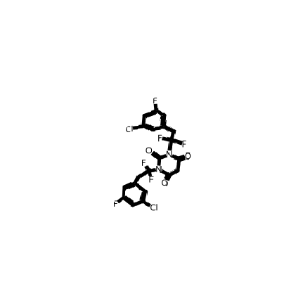 O=C1CC(=O)N(C(F)(F)Cc2cc(F)cc(Cl)c2)C(=O)N1C(F)(F)Cc1cc(F)cc(Cl)c1